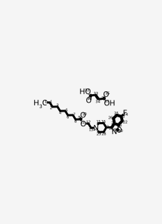 CCCCCCCCCC(=O)OCCN1CCC(c2noc3cc(F)ccc23)CC1.O=C(O)/C=C/C(=O)O